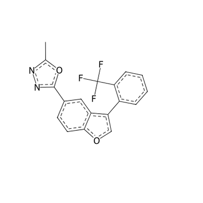 Cc1nnc(-c2ccc3occ(-c4ccccc4C(F)(F)F)c3c2)o1